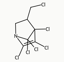 ClCC1CN2C(Cl)=C(Cl)C1(Cl)C2(Cl)Cl